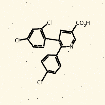 O=C(O)c1cnc(-c2ccc(Cl)cc2)c(-c2ccc(Cl)cc2Cl)c1